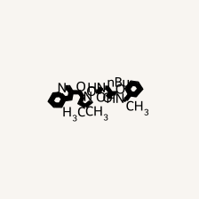 CCCC[C@@H](NC(=O)ON1CC(C)(C)CC1C(=O)c1cnc2ccccc2c1)C(=O)C(=O)NC(C)c1ccccc1